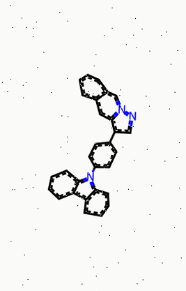 c1ccc2cn3ncc(-c4ccc(-n5c6ccccc6c6ccccc65)cc4)c3cc2c1